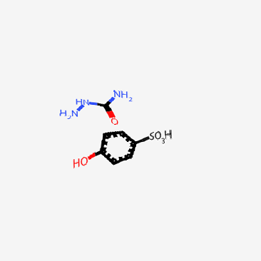 NNC(N)=O.O=S(=O)(O)c1ccc(O)cc1